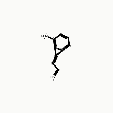 N=C/C=C1\c2cccc(N)c21